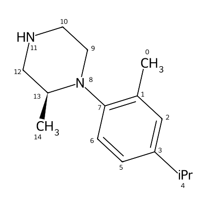 Cc1cc(C(C)C)ccc1N1CCNC[C@@H]1C